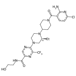 CC[C@H]1CN(c2ncc(C(=O)NCCO)nc2C(F)(F)F)CCN1C1CCN(C(=O)c2ccc(Cl)nc2N)CC1